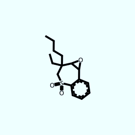 CCCCC1(CC)CS(=O)(=O)c2ccccc2C2OC21